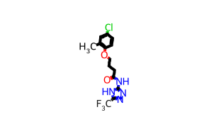 Cc1cc(Cl)ccc1OCCCC(=O)Nc1nnc(C(F)(F)F)[nH]1